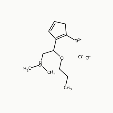 CCCOC(C[SiH](C)C)C1=[C]([Ti+2])CC=C1.[Cl-].[Cl-]